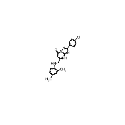 Cc1ccc(NCc2cc(=O)n3nc(-c4ccc(Cl)cc4)nc3[nH]2)c(C)c1